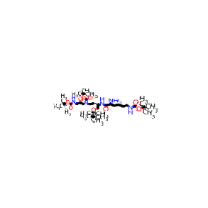 CC(C)(C)OC(=O)NCCCC[C@H](N)C(=O)N[C@@H](CCN(C[C@H](O)CNC(=O)OC(C)(C)C)C(=O)OC(C)(C)C)CO[Si](C)(C)C(C)(C)C